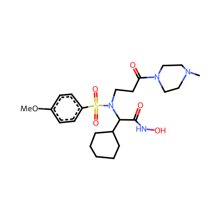 COc1ccc(S(=O)(=O)N(CCC(=O)N2CCN(C)CC2)C(C(=O)NO)C2CCCCC2)cc1